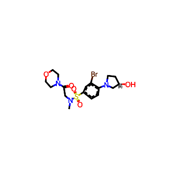 CN(CC(=O)N1CCOCC1)S(=O)(=O)c1ccc(N2CC[C@@H](O)C2)c(Br)c1